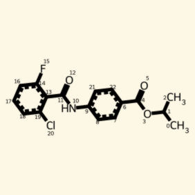 CC(C)OC(=O)c1ccc(NC(=O)c2c(F)cccc2Cl)cc1